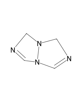 C1=NCN2CN=CN12